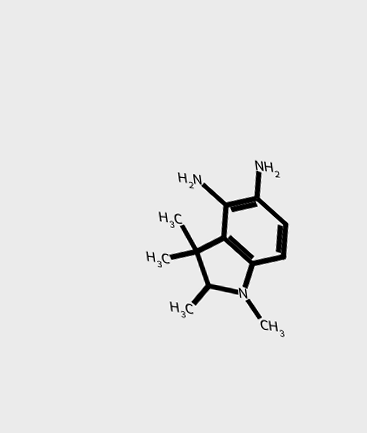 CC1N(C)c2ccc(N)c(N)c2C1(C)C